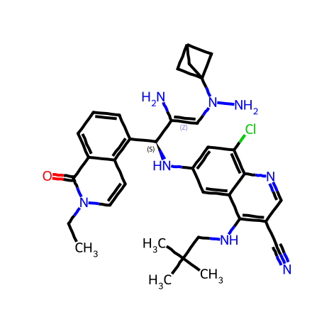 CCn1ccc2c([C@H](Nc3cc(Cl)c4ncc(C#N)c(NCC(C)(C)C)c4c3)/C(N)=C/N(N)C34CC(C3)C4)cccc2c1=O